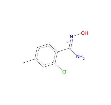 Cc1ccc(/C(N)=N/O)c(Cl)c1